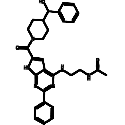 CC(=O)NCCNc1nc(-c2ccccc2)nc2[nH]c(C(=O)N3CCC(C(O)c4ccccc4)CC3)cc12